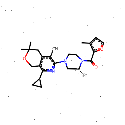 Cc1ccoc1C(=O)N1CCN(c2nc(C3CC3)c3c(c2C#N)CC(C)(C)OC3)C[C@H]1C(C)C